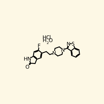 Cl.O.O=C1Cc2cc(CCN3CCN(c4nsc5ccccc45)CC3)c(F)cc2N1